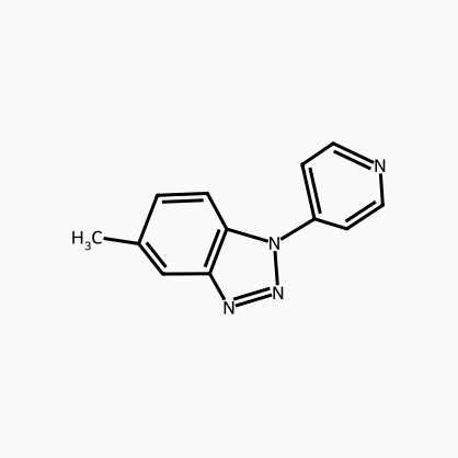 Cc1ccc2c(c1)nnn2-c1ccncc1